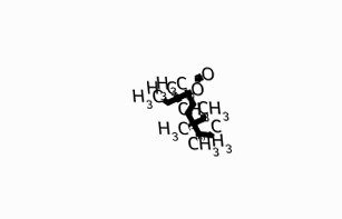 CC[C@@H](C)[C@@](C)(CC)CC[C@@](C)(OC=O)C(C)(C)CC